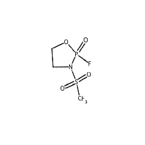 O=P1(F)OCCN1S(=O)(=O)C(F)(F)F